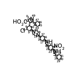 Cc1c(C(=O)O)c(-c2cc(Cl)cc(N3CCN(c4ccc(NSc5ccc(NSc6ccccc6)c([N+](=O)[O-])c5)cc4)CC3)c2)c(-c2ccccc2)n1C